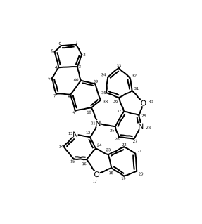 c1ccc2c(c1)ccc1cc(N(c3nccc4oc5ccccc5c34)c3ccnc4oc5ccccc5c34)ccc12